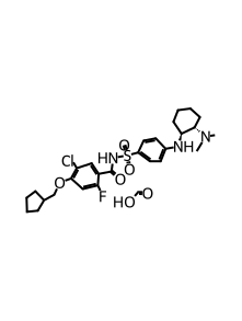 CN(C)[C@H]1CCCC[C@@H]1Nc1ccc(S(=O)(=O)NC(=O)c2cc(Cl)c(OCC3CCCC3)cc2F)cc1.O=CO